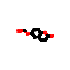 O=c1ccc2cc(OCO)ccc2o1